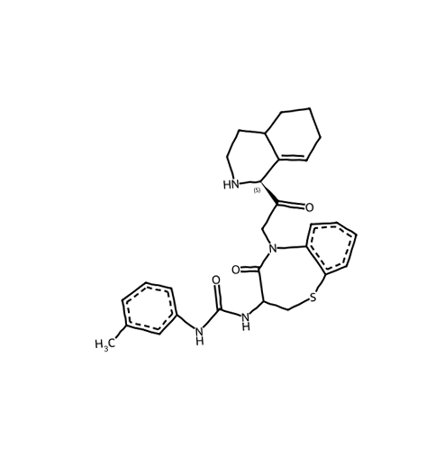 Cc1cccc(NC(=O)NC2CSc3ccccc3N(CC(=O)[C@H]3NCCC4CCCC=C43)C2=O)c1